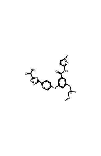 COC[C@H](C)Oc1cc(Oc2ccc(-c3noc(C(N)=O)n3)nc2)cc(C(=O)Nc2ccn(C)n2)c1